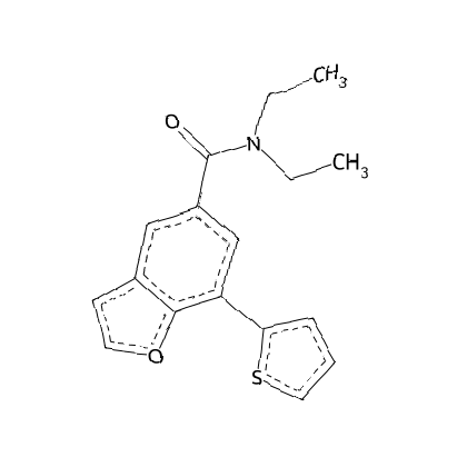 CCN(CC)C(=O)c1cc(-c2cccs2)c2occc2c1